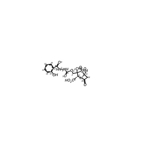 C[C@]1(COC(=O)NNC(=O)c2ccccc2O)[C@H](C(=O)O)N2C(=O)C[C@H]2S1(=O)=O